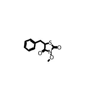 CON1C(=O)SC(Cc2ccccc2)C1=O